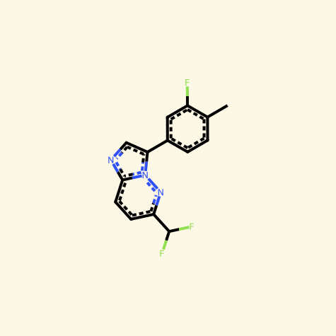 Cc1ccc(-c2cnc3ccc(C(F)F)nn23)cc1F